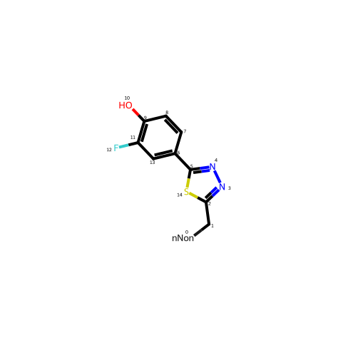 CCCCCCCCCCc1nnc(-c2ccc(O)c(F)c2)s1